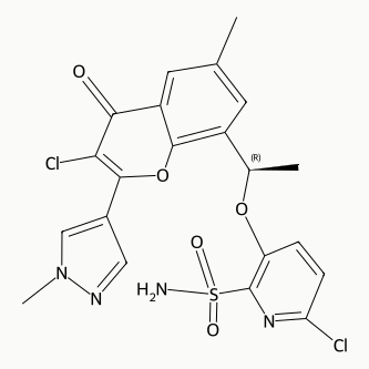 Cc1cc([C@@H](C)Oc2ccc(Cl)nc2S(N)(=O)=O)c2oc(-c3cnn(C)c3)c(Cl)c(=O)c2c1